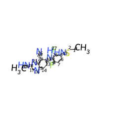 CCCSNc1ccc(F)c(Nc2ccc3ncc(NC)nc3c2C#N)c1F